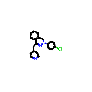 Clc1ccc(N2Cc3ccccc3C(Cc3ccncc3)=N2)cc1